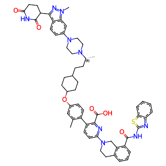 Cc1cc(OC2CCC(CC[C@@H](C)N3CCN(c4ccc5c(C6CCC(=O)NC6=O)nn(C)c5c4)CC3)CC2)ccc1-c1ccc(N2CCc3cccc(C(=O)Nc4nc5ccccc5s4)c3C2)nc1C(=O)O